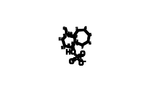 C[N+]1=C2CCCCCN2CCC1.O=S(=O)([O-])O